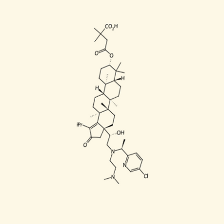 CC(C)C1=C2[C@@]([C@H](O)CN(CCN(C)C)[C@@H](C)c3ccc(Cl)cn3)(CC[C@]3(C)[C@]2(C)CC[C@@H]2[C@@]4(C)CC[C@H](OC(=O)CC(C)(C)C(=O)O)C(C)(C)[C@@H]4CC[C@]23C)CC1=O